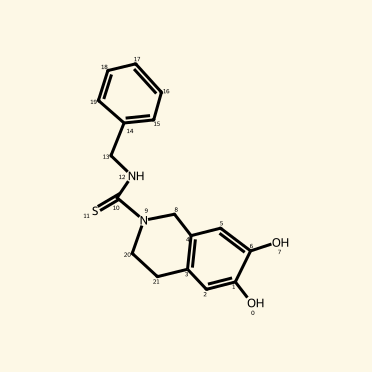 Oc1cc2c(cc1O)CN(C(=S)NCc1ccccc1)CC2